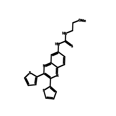 COCCNC(=S)Nc1ccc2nc(-c3cccs3)c(-c3cccs3)nc2c1